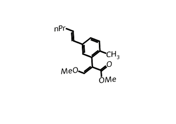 CCC/C=C/c1ccc(C)c(/C(=C\OC)C(=O)OC)c1